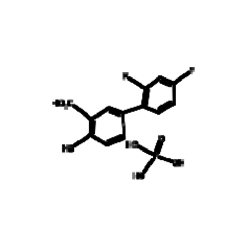 O=C(O)c1cc(-c2ccc(F)cc2F)ccc1O.O=P(O)(O)O